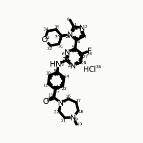 Cc1ncc(-c2nc(Nc3ccc(C(=O)N4CCCN(C)CC4)cc3)ncc2F)n1C1CCOCC1.Cl